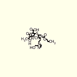 C=CCOC(=O)N1C[C@@H](SC2=C(C(=O)O)N3C(=O)[C@H]([C@@H](C)O)[C@H]3[C@H]2C)C[C@H]1CCn1ccnc1CO